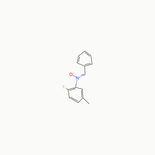 Cc1ccc(F)c([N+]([O-])=Cc2ccccc2)c1